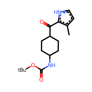 Cc1cc[nH]c1C(=O)C1CCC(NC(=O)OC(C)(C)C)CC1